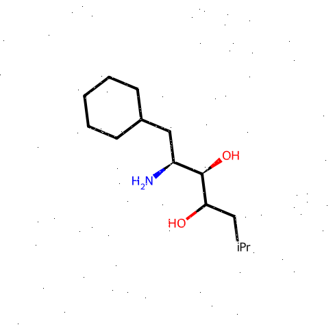 CC(C)CC(O)[C@H](O)[C@@H](N)CC1CCCCC1